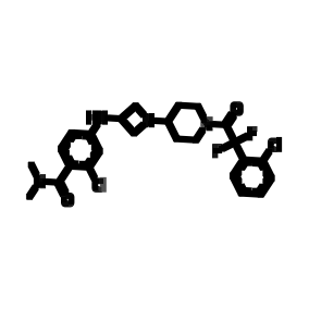 CN(C)C(=O)c1ccc(NC2CN(C3CCN(C(=O)C(F)(F)c4ccccc4Cl)CC3)C2)cc1Cl